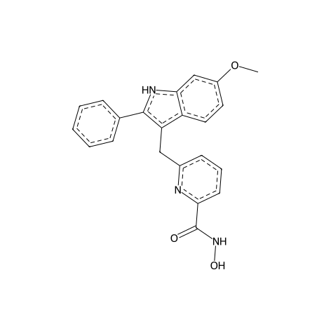 COc1ccc2c(Cc3cccc(C(=O)NO)n3)c(-c3ccccc3)[nH]c2c1